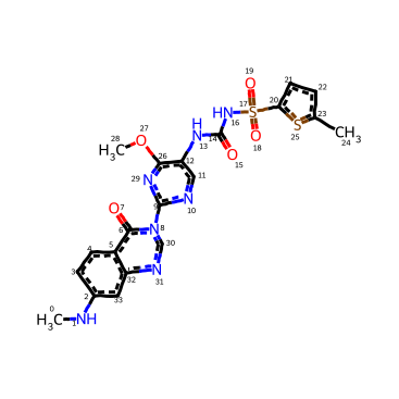 CNc1ccc2c(=O)n(-c3ncc(NC(=O)NS(=O)(=O)c4ccc(C)s4)c(OC)n3)cnc2c1